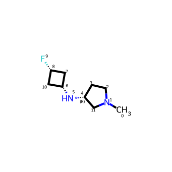 CN1CC[C@@H](N[C@H]2C[C@@H](F)C2)C1